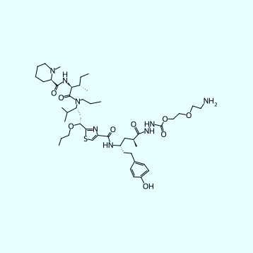 CCCO[C@H](C[C@H](C(C)C)N(CCC)C(=O)[C@@H](NC(=O)[C@H]1CCCCN1C)[C@@H](C)CC)c1nc(C(=O)N[C@@H](CCc2ccc(O)cc2)C[C@H](C)C(=O)NNC(=O)OCCOCCN)cs1